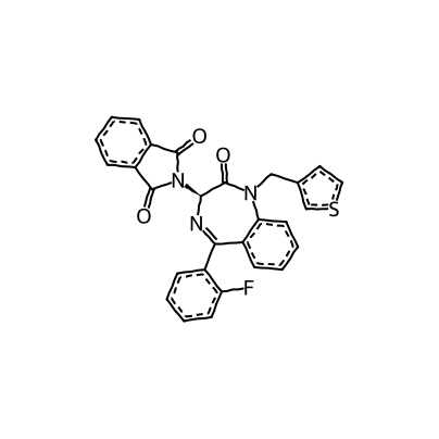 O=C1[C@H](N2C(=O)c3ccccc3C2=O)N=C(c2ccccc2F)c2ccccc2N1Cc1ccsc1